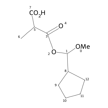 COC(OC(=O)C(C)C(=O)O)C1CCCC1